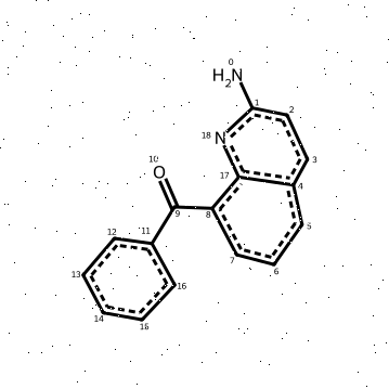 Nc1ccc2cccc(C(=O)c3ccccc3)c2n1